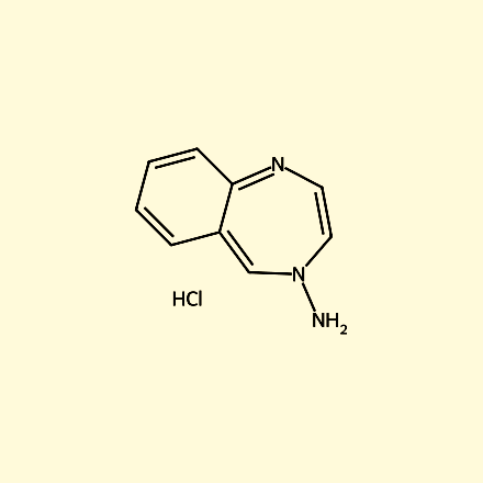 Cl.NN1C=CN=c2ccccc2=C1